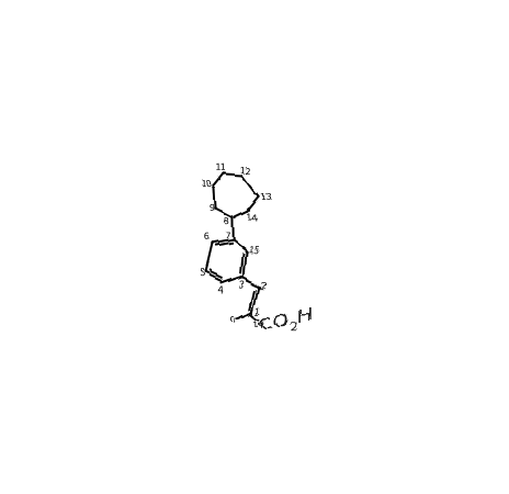 C/C(=C\c1cccc(C2CCCCCC2)c1)C(=O)O